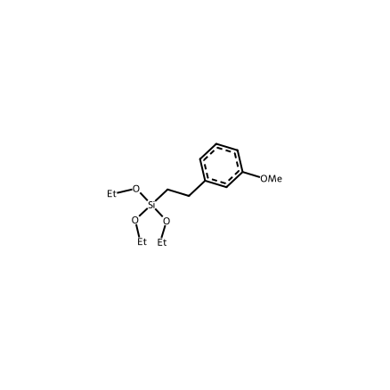 CCO[Si](CCc1cccc(OC)c1)(OCC)OCC